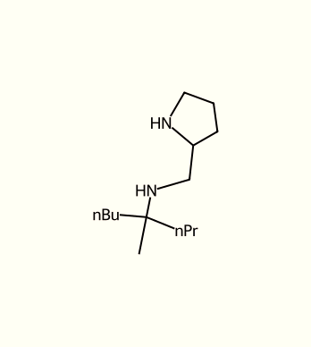 CCCCC(C)(CCC)NCC1CCCN1